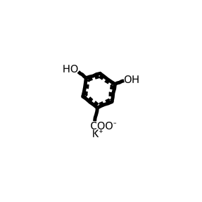 O=C([O-])c1cc(O)cc(O)c1.[K+]